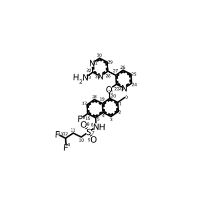 Cc1ccc2c(NS(=O)(=O)CCC(F)F)c(F)ccc2c1Oc1ncccc1-c1ccnc(N)n1